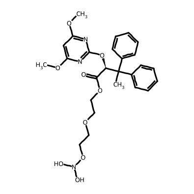 COc1cc(OC)nc(O[C@H](C(=O)OCCOCCON(O)O)C(C)(c2ccccc2)c2ccccc2)n1